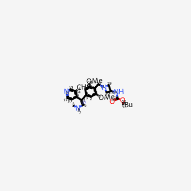 COc1cc(/C(=C/N(C)C)c2ccncc2C=O)cc(OC)c1CN1CC(NC(=O)OC(C)(C)C)C1